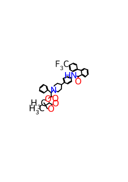 CC1(C)COC(=O)C1OC(=O)C(c1ccccc1)N1CCC(c2ccc(NC(=O)c3ccccc3-c3ccc(C(F)(F)F)cc3)cc2)CC1